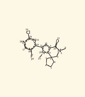 CN1CC2(CCCC2)c2c(cc(-c3nc(Cl)ncc3F)n2C)C1=O